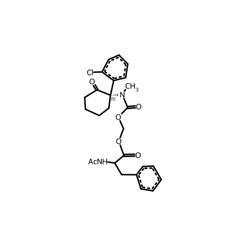 CC(=O)NC(Cc1ccccc1)C(=O)OCOC(=O)N(C)[C@]1(c2ccccc2Cl)CCCCC1=O